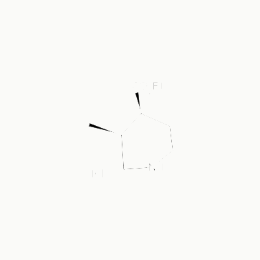 CCOC(=O)[C@H]1CCNC[C@H]1C.Cl